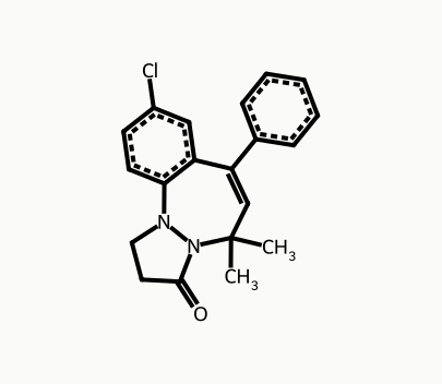 CC1(C)C=C(c2ccccc2)c2cc(Cl)ccc2N2CCC(=O)N21